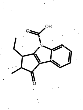 CCC1c2c(c3ccccc3n2C(=O)O)C(=O)C1C